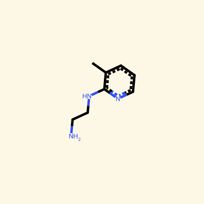 Cc1cccnc1NCCN